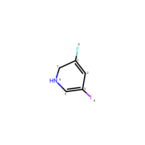 FC1=CC(I)=CNC1